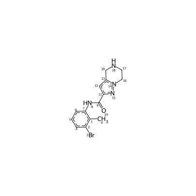 Cc1c(Br)cccc1NC(=O)c1cc2n(n1)CCNC2